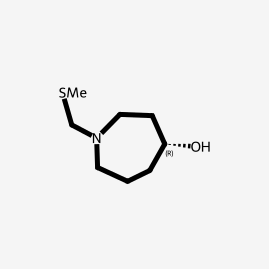 CSCN1CCC[C@@H](O)CC1